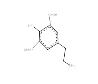 COc1cc(CCN)cc(OC)c1O